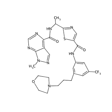 CC(NC(=O)c1ncnc2c1cnn2C)c1ncc(C(=O)Nc2cc(CCCN3CCOCC3)cc(C(F)(F)F)c2)s1